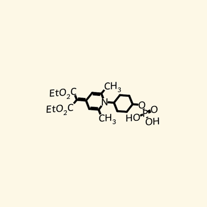 CCOC(=O)C(C(=O)OCC)=C1C=C(C)N(C2CCC(OP(=O)(O)O)CC2)C(C)=C1